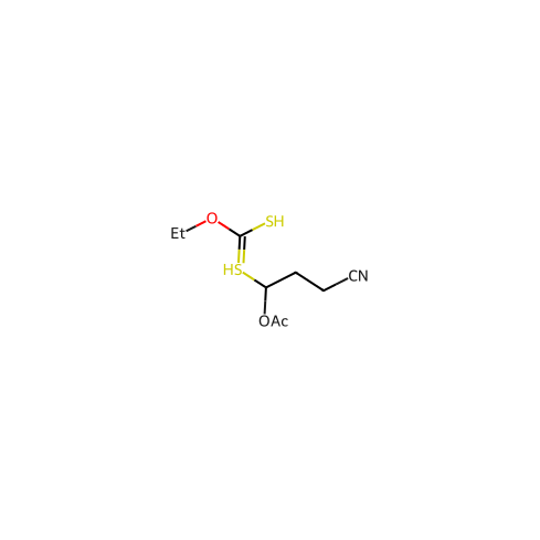 CCOC(S)=[SH]C(CCC#N)OC(C)=O